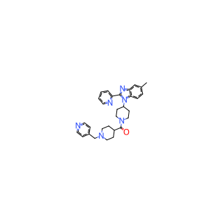 Cc1ccc2c(c1)nc(-c1ccccn1)n2C1CCN(C(=O)C2CCN(Cc3ccncc3)CC2)CC1